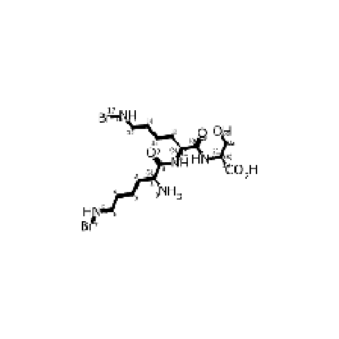 N[C@@H](CCCCNBr)C(=O)N[C@@H](CCCCNBr)C(=O)N[C@@H](CO)C(=O)O